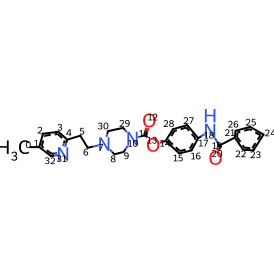 Cc1ccc(CCN2CCN(C(=O)Oc3ccc(NC(=O)c4ccccc4)cc3)CC2)nc1